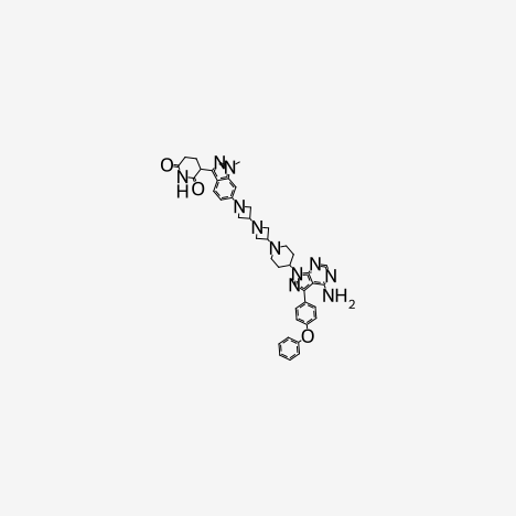 Cn1nc(C2CCC(=O)NC2=O)c2ccc(N3CC(N4CC(N5CCC(n6nc(-c7ccc(Oc8ccccc8)cc7)c7c(N)ncnc76)CC5)C4)C3)cc21